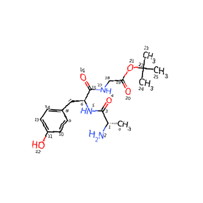 C[C@H](N)C(=O)N[C@@H](Cc1ccc(O)cc1)C(=O)NCC(=O)OC(C)(C)C